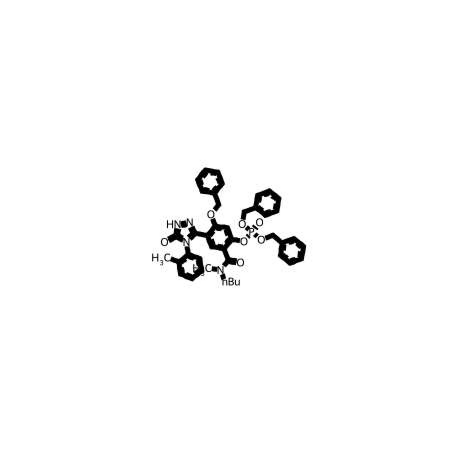 CCCCN(C)C(=O)c1cc(-c2n[nH]c(=O)n2-c2ccccc2C)c(OCc2ccccc2)cc1OP(=O)(OCc1ccccc1)OCc1ccccc1